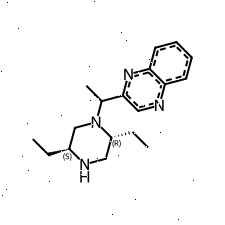 CC[C@H]1CN(C(C)c2cnc3ccccc3n2)[C@H](CC)CN1